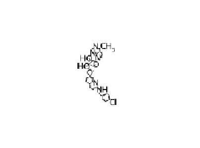 Cc1ncnc2c1ccn2[C@@H]1O[C@H](COc2ccc3ccc(NCc4ccc(Cl)cc4)nc3c2)[C@@H](O)[C@H]1O